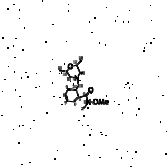 CON(C)C(=O)c1ccccc1CN1C[C@@H](C)O[C@@H](C)C1